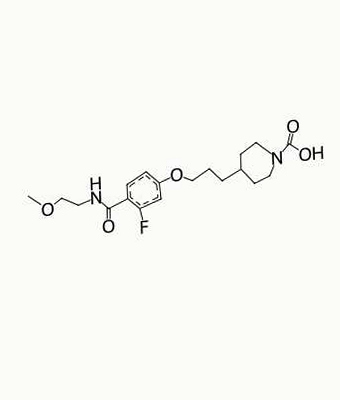 COCCNC(=O)c1ccc(OCCCC2CCN(C(=O)O)CC2)cc1F